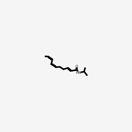 C/C=C\C=C/CC/C=C/C(=O)NC(C)C